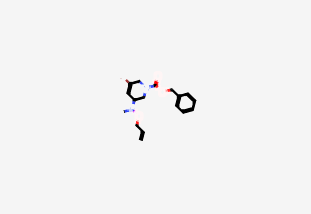 C=CCON(C)C1C=C(Br)CN(C(=O)OCc2ccccc2)C1